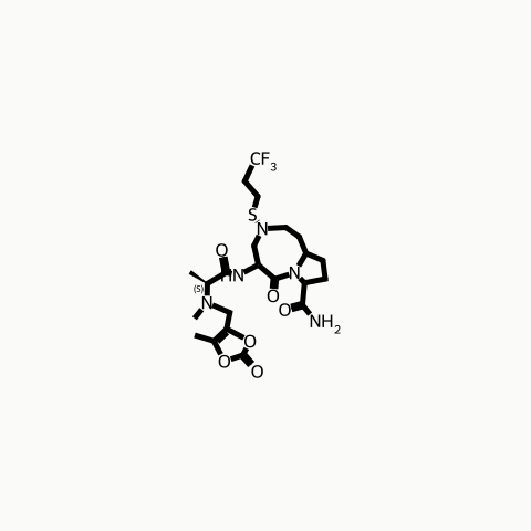 Cc1oc(=O)oc1CN(C)[C@@H](C)C(=O)NC1CN(SCCC(F)(F)F)CCC2CCC(C(N)=O)N2C1=O